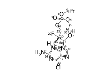 CC(C)OP1(=O)OC[C@H]2O[C@@H](n3cnc4c(Cl)nc(N)nc43)[C@](C)(F)C2O1